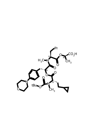 CC(C)C[C@@H](C(=O)O[C@H](C)C(=O)O)N(C)C(=O)[C@@H](Cc1ccc(N2CCOCC2)cc1)OC(=O)[C@H](CCC1CC1)N(C)C(=O)OC(C)(C)C